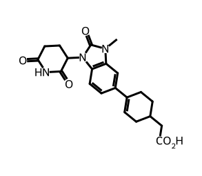 Cn1c(=O)n(C2CCC(=O)NC2=O)c2ccc(C3=CCC(CC(=O)O)CC3)cc21